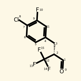 O=C[C@@H](Cc1ccc(Cl)c(F)c1)C(F)(F)F